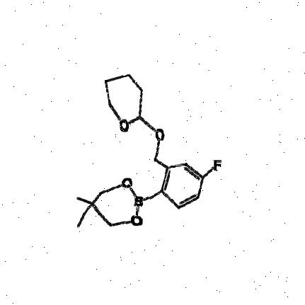 CC1(C)COB(c2ccc(F)cc2COC2CCCCO2)OC1